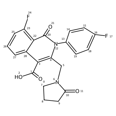 O=C(O)c1c(CN2CCCC2=O)n(-c2ccc(F)cc2)c(=O)c2c(F)cccc12